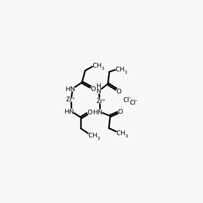 CCC(=O)[NH][Zr+][NH]C(=O)CC.CCC(=O)[NH][Zr+][NH]C(=O)CC.[Cl-].[Cl-]